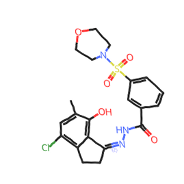 Cc1cc(Cl)c2c(c1O)/C(=N\NC(=O)c1cccc(S(=O)(=O)N3CCOCC3)c1)CC2